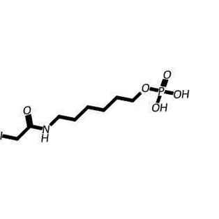 O=C(CI)NCCCCCCOP(=O)(O)O